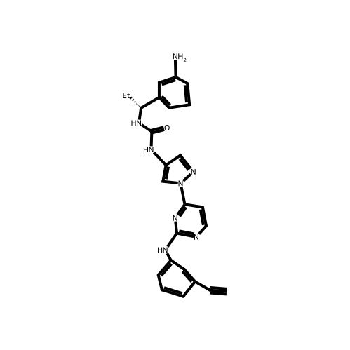 C#Cc1cccc(Nc2nccc(-n3cc(NC(=O)N[C@H](CC)c4cccc(N)c4)cn3)n2)c1